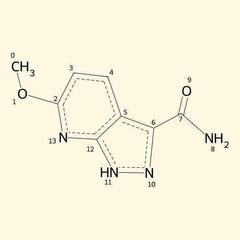 COc1ccc2c(C(N)=O)n[nH]c2n1